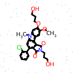 COc1cc2c3c4c(c(-c5ccccc5Cl)cc3n(C)c2cc1OCCCO)C(=O)N(CCCO)C4=O